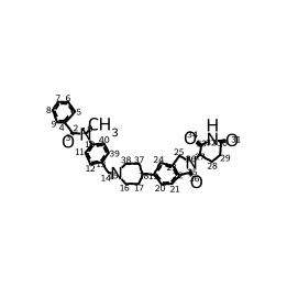 CN(C(=O)c1ccccc1)c1ccc(CN2CCC(c3ccc4c(c3)CN(C3CCC(=O)NC3=O)C4=O)CC2)cc1